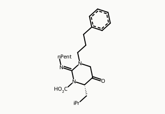 CCCCCN=C1N(CCCc2ccccc2)CC(=O)[C@H](CC(C)C)N1C(=O)O